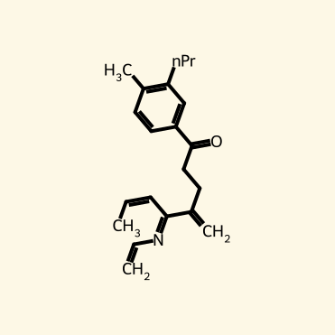 C=C/N=C(\C=C/C)C(=C)CCC(=O)c1ccc(C)c(CCC)c1